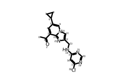 CC(=O)c1cc(C2CC2)cn2cc(CNc3cc(Cl)ncn3)nc12